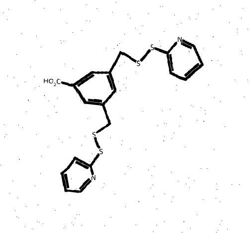 O=C(O)c1cc(CSSc2ccccn2)cc(CSSc2ccccn2)c1